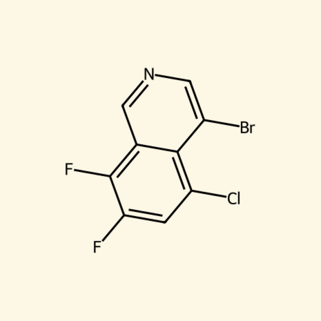 Fc1cc(Cl)c2c(Br)cncc2c1F